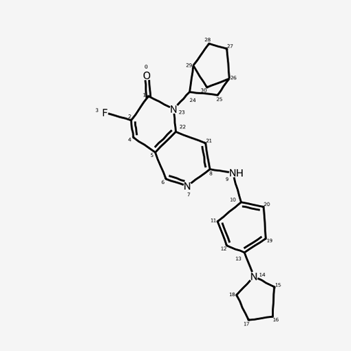 O=c1c(F)cc2cnc(Nc3ccc(N4CCCC4)cc3)cc2n1C1CC2CCC1C2